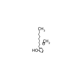 C=O.CCCCCCCCCCc1ccccc1O